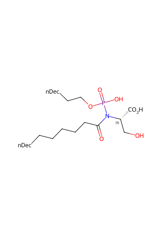 CCCCCCCCCCCCCCCC(=O)N([C@@H](CO)C(=O)O)P(=O)(O)OCCCCCCCCCCCC